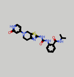 CC(C)NC(=O)c1ccccc1NC(=O)Nc1nc2c(s1)CN(c1cc[nH]c(=O)c1)CC2